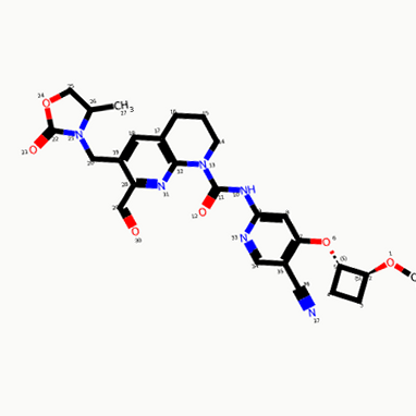 CO[C@H]1CC[C@@H]1Oc1cc(NC(=O)N2CCCc3cc(CN4C(=O)OCC4C)c(C=O)nc32)ncc1C#N